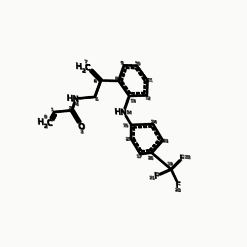 C=CC(=O)NCC(=C)c1ccccc1Nc1ccc(C(F)(F)F)cc1